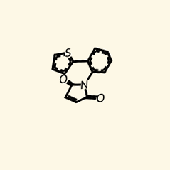 O=C1C=CC(=O)N1c1ccccc1-c1cccs1